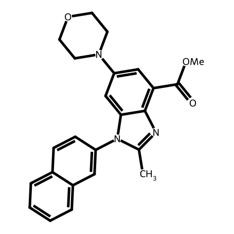 COC(=O)c1cc(N2CCOCC2)cc2c1nc(C)n2-c1ccc2ccccc2c1